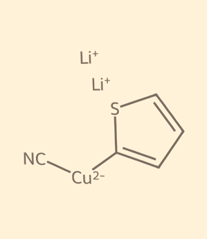 N#[C][Cu-2][c]1cccs1.[Li+].[Li+]